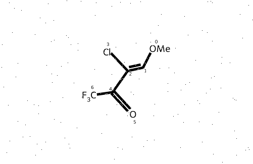 COC=C(Cl)C(=O)C(F)(F)F